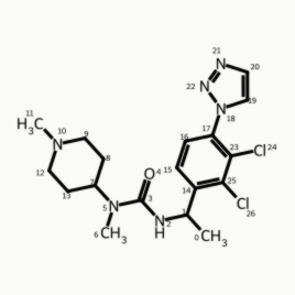 CC(NC(=O)N(C)C1CCN(C)CC1)c1ccc(-n2ccnn2)c(Cl)c1Cl